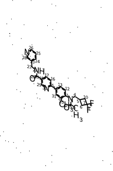 CC(=O)N(CC1CC(F)(F)C1)c1ccc(-c2ccc(C(=O)NCc3cccnc3)cn2)cc1C